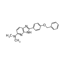 CN(C)c1ccc2nc(-c3ccc(OCc4ccccc4)cc3)[nH]c2n1